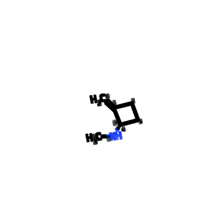 C=C1CC[C@@H]1NC